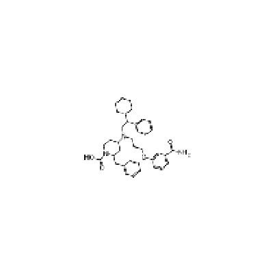 NC(=O)c1cccc(OCCCN(CC(c2ccccc2)C2CCCCC2)C2CCN(C(=O)O)C(Cc3ccccc3)C2)c1